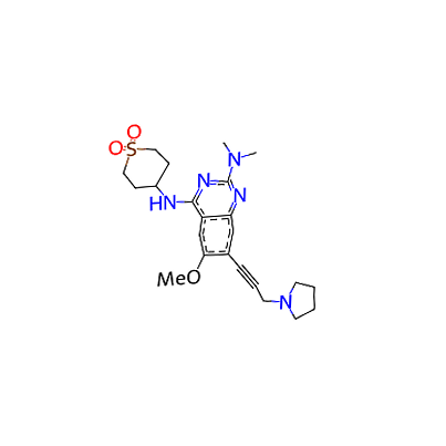 COc1cc2c(NC3CCS(=O)(=O)CC3)nc(N(C)C)nc2cc1C#CCN1CCCC1